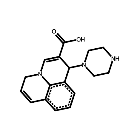 O=C(O)C1=CN2CC=Cc3cccc(c32)C1N1CCNCC1